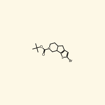 CC(C)(C)OC(=O)N1CCC2Cc3cc(Br)sc3C2C1